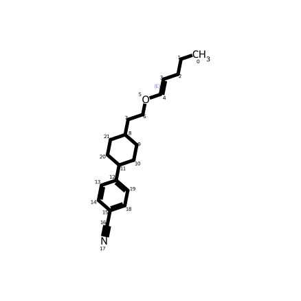 CCC/C=C/OCCC1CCC(c2ccc(C#N)cc2)CC1